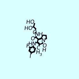 CC1=C(Nc2ccc(I)cc2F)C(C(=O)NOCC(O)CO)=C2CCCN2[C@@H]1O